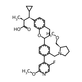 COC[C@H]1CCCN1Cc1cc(C2CCc3ccc([C@H](C4CC4)[C@H](C)C(=O)O)cc3O2)ccc1-c1cc(OC)ncc1F